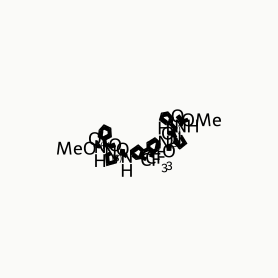 COC(=O)N[C@@H](C(=O)N1CCC[C@H]1C(=O)Nc1ccc(-c2ccc(NC(=O)[C@@H]3CCCN3C(=O)[C@H](NC(=O)OC)c3ccccc3)cc2C(F)(F)F)c(C(F)(F)F)c1)c1ccccc1